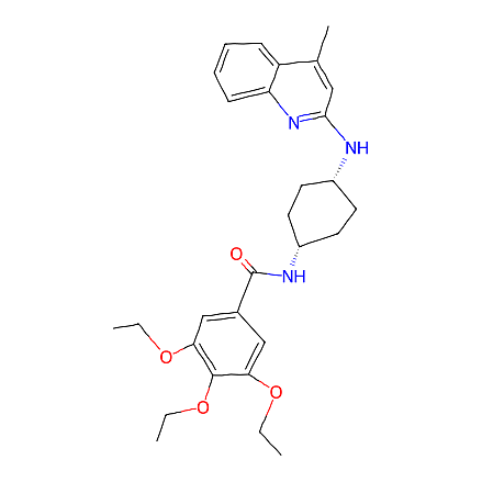 CCOc1cc(C(=O)N[C@H]2CC[C@@H](Nc3cc(C)c4ccccc4n3)CC2)cc(OCC)c1OCC